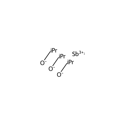 CC(C)[O-].CC(C)[O-].CC(C)[O-].[Sb+3]